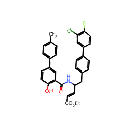 CCOC(=O)C=CC(Cc1ccc(-c2ccc(F)c(Cl)c2)cc1)NC(=O)c1cc(-c2ccc(C(F)(F)F)cc2)ccc1O